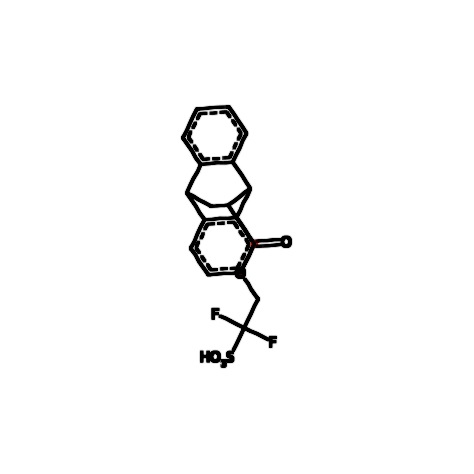 O=C(OCC(F)(F)S(=O)(=O)O)C1CC2c3ccccc3C1c1ccccc12